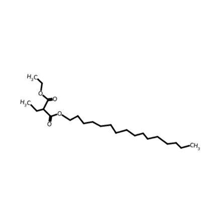 CCCCCCCCCCCCCCCCOC(=O)C(CC)C(=O)OCC